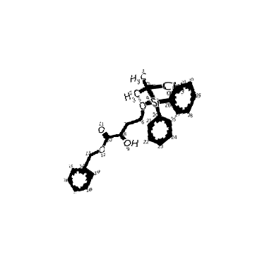 CC(C)(C)[Si](OCCC(O)C(=O)OCc1ccccc1)(c1ccccc1)c1ccccc1